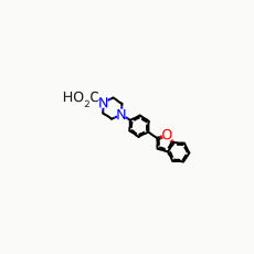 O=C(O)N1CCN(c2ccc(-c3cc4ccccc4o3)cc2)CC1